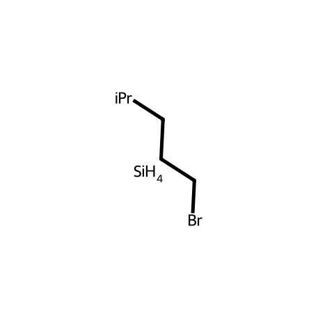 CC(C)CCCBr.[SiH4]